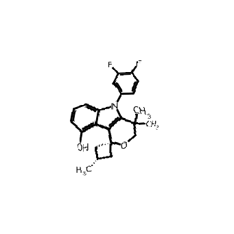 CC1(C)CO[C@]2(C[C@@H](C)C2)c2c1n(-c1ccc(F)c(F)c1)c1cccc(O)c12